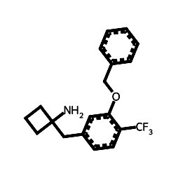 NC1(Cc2ccc(C(F)(F)F)c(OCc3ccccc3)c2)CCC1